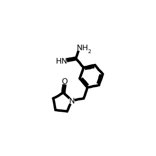 N=C(N)c1cccc(CN2CCCC2=O)c1